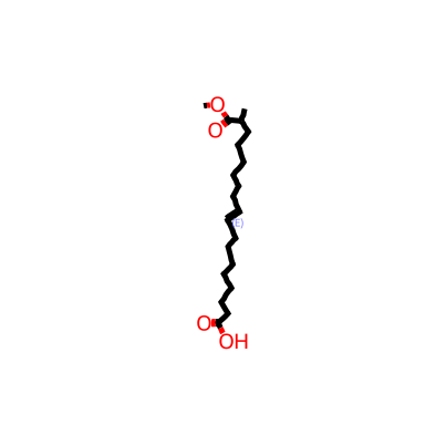 COC(=O)C(C)CCCCCC/C=C/CCCCCCCC(=O)O